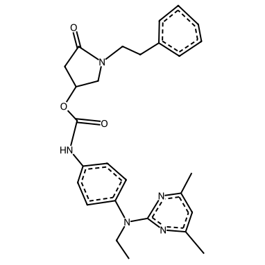 CCN(c1ccc(NC(=O)OC2CC(=O)N(CCc3ccccc3)C2)cc1)c1nc(C)cc(C)n1